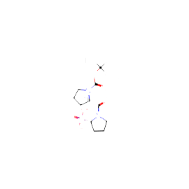 CC(C)(C)OC(=O)N1CCC[C@H]1C(=O)N1CCC[C@H]1P(=O)(O)O